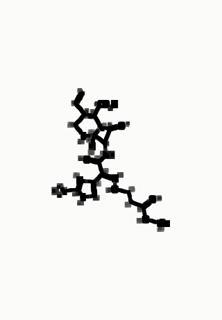 C=CC1=C(C(=O)O)N2C(=O)C(NC(=O)C(=NOCCC(=O)OC(C)(C)C)c3csc(N)n3)[C@@H]2SC1